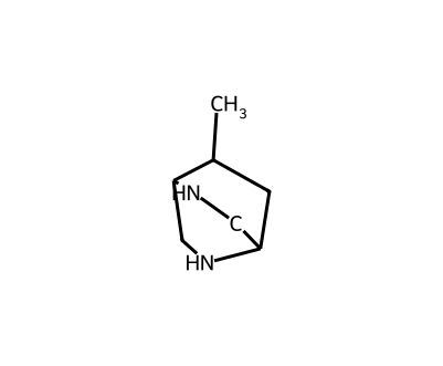 CC1CC2CNC1CN2